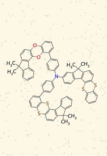 CC1(C)c2ccccc2-c2c1ccc1c2Oc2c(cccc2-c2ccc(N(c3ccc(-c4cccc5c4Sc4c(ccc6c4-c4ccccc4C6(C)C)S5)cc3)c3ccc4c(c3)C(C)(C)c3ccc5c(c3-4)Sc3ccccc3S5)cc2)O1